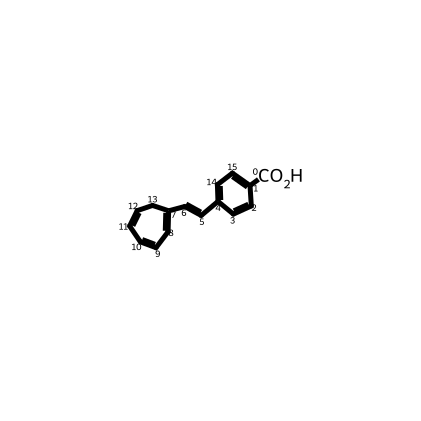 O=C(O)c1ccc(/C=C/C2=CC=CC=CC2)cc1